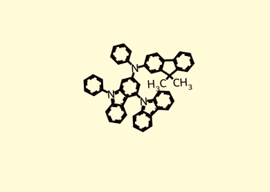 CC1(C)c2ccccc2-c2ccc(N(c3ccccc3)c3cc(-n4c5ccccc5c5ccccc54)c4c5ccccc5n(-c5ccccc5)c4c3)cc21